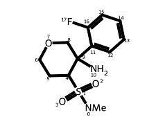 CNS(=O)(=O)C1CCOCC1(N)c1ccccc1F